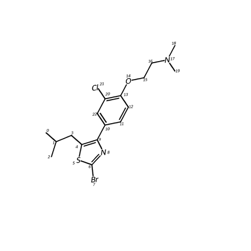 CC(C)Cc1sc(Br)nc1-c1ccc(OCCN(C)C)c(Cl)c1